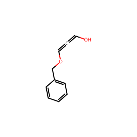 OC=C=COCc1ccccc1